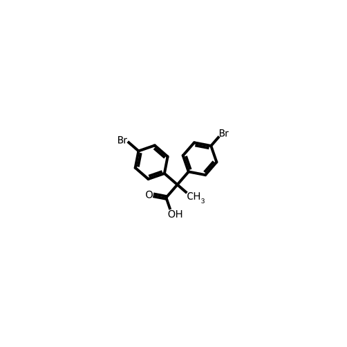 CC(C(=O)O)(c1ccc(Br)cc1)c1ccc(Br)cc1